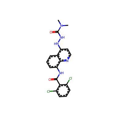 CN(C)C(=O)NNc1ccnc2c(NC(=O)c3c(Cl)cccc3Cl)cccc12